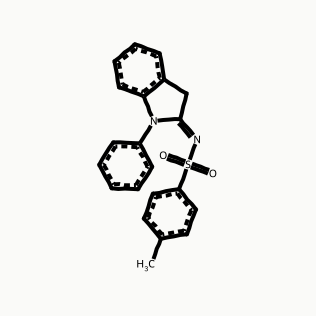 Cc1ccc(S(=O)(=O)N=C2Cc3ccccc3N2c2ccccc2)cc1